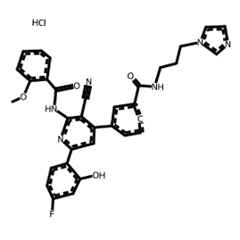 COc1ccccc1C(=O)Nc1nc(-c2ccc(F)cc2O)cc(-c2cccc(C(=O)NCCCn3ccnc3)c2)c1C#N.Cl